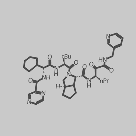 CCC[C@@H](NC(=O)[C@@H]1C2CCC[C@H]2CN1C(=O)[C@@H](NC(=O)[C@H](NC(=O)c1cnccn1)C1CCCCC1)C(C)(C)C)C(=O)C(=O)NCc1cccnc1